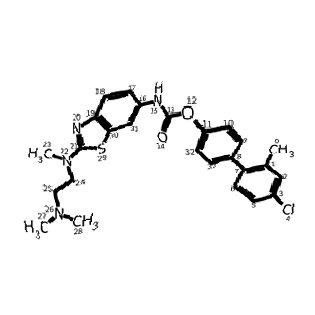 Cc1cc(Cl)ccc1-c1ccc(OC(=O)Nc2ccc3nc(N(C)CCN(C)C)sc3c2)cc1